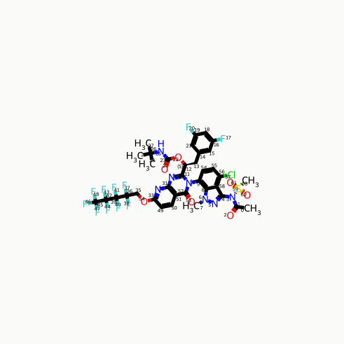 CC(=O)N(c1nn(C)c2c(-n3c([C@H](Cc4cc(F)cc(F)c4)OC(=O)NC(C)(C)C)nc4nc(OCC(F)(F)C(F)(F)C(F)(F)C(F)(F)F)ccc4c3=O)ccc(Cl)c12)S(C)(=O)=O